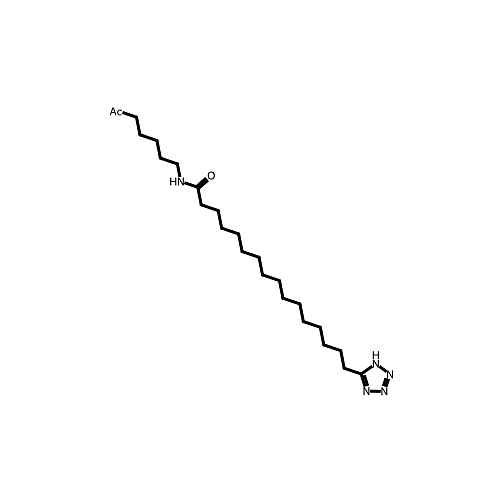 CC(=O)CCCCCNC(=O)CCCCCCCCCCCCCCCc1nnn[nH]1